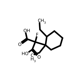 CCC1CCCCC1(CC)C(F)(C(=O)O)C(=O)O